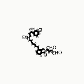 CCN(CCCCCCc1cccc2c1CN(C(C=O)CCC=O)C2=O)CC[C@H](C#N)c1cccc(Cl)c1